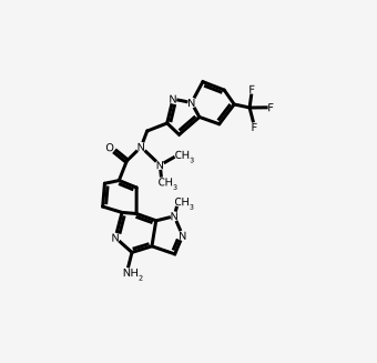 CN(C)N(Cc1cc2cc(C(F)(F)F)ccn2n1)C(=O)c1ccc2nc(N)c3cnn(C)c3c2c1